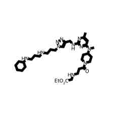 CCOC(=O)CNCCC(=O)N1CCC(N(C)c2cc(C)nc(NCc3cn(CCCNCCCNC4CCCCC4)nn3)n2)CC1